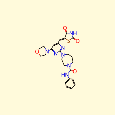 O=C1NC(=O)C(=Cc2cc(N3CCOCC3)nc(N3CCCN(C(=O)Nc4ccccc4)CC3)n2)S1